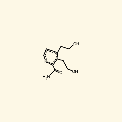 NC(=O)c1nccc(CCO)c1CCO